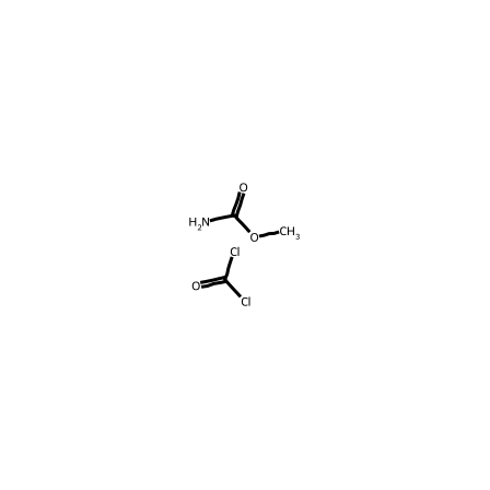 COC(N)=O.O=C(Cl)Cl